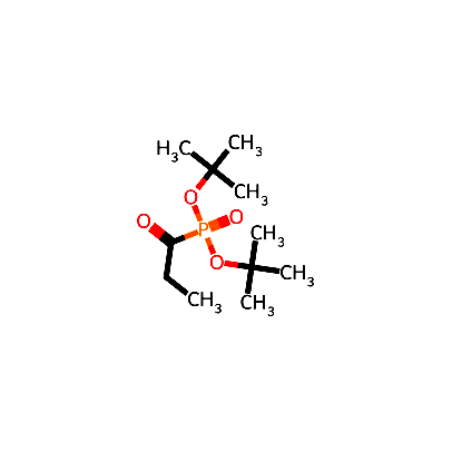 CCC(=O)P(=O)(OC(C)(C)C)OC(C)(C)C